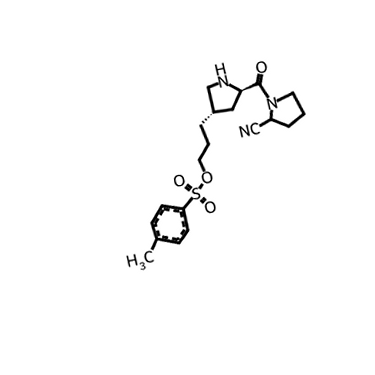 Cc1ccc(S(=O)(=O)OCCC[C@@H]2CN[C@@H](C(=O)N3CCCC3C#N)C2)cc1